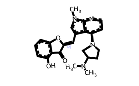 CN(C)C1CCN(c2ccnc3c2c(/C=C2\Oc4cccc(O)c4C2=O)cn3C)C1